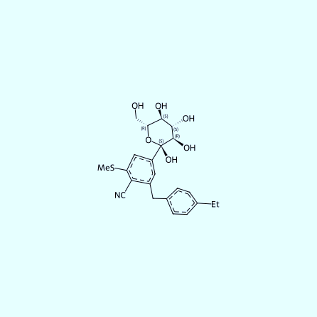 CCc1ccc(Cc2cc([C@]3(O)O[C@H](CO)[C@@H](O)[C@H](O)[C@H]3O)cc(SC)c2C#N)cc1